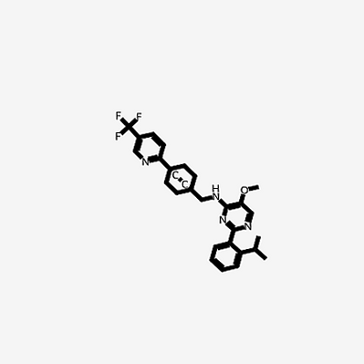 COc1cnc(-c2ccccc2C(C)C)nc1NCC12CCC(c3ccc(C(F)(F)F)cn3)(CC1)CC2